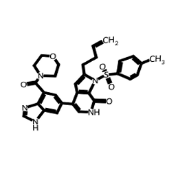 C=CCCc1cc2c(-c3cc(C(=O)N4CCOCC4)c4nc[nH]c4c3)c[nH]c(=O)c2n1S(=O)(=O)c1ccc(C)cc1